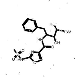 CCCCC(O)C(O)C(Cc1ccccc1)NC(=O)c1coc(NS(C)(=O)=O)n1